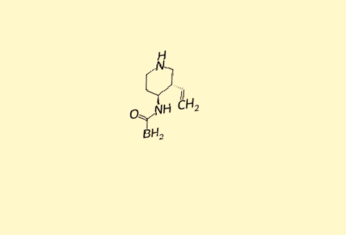 BC(=O)N[C@H]1CCNC[C@@H]1C=C